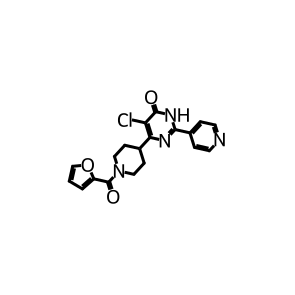 O=C(c1ccco1)N1CCC(c2nc(-c3ccncc3)[nH]c(=O)c2Cl)CC1